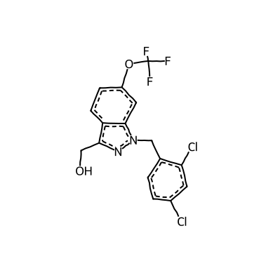 OCc1nn(Cc2ccc(Cl)cc2Cl)c2cc(OC(F)(F)F)ccc12